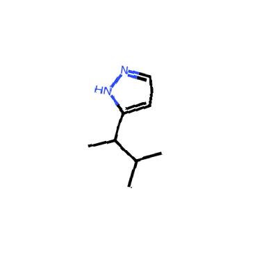 [CH2]C(C)C(C)c1ccn[nH]1